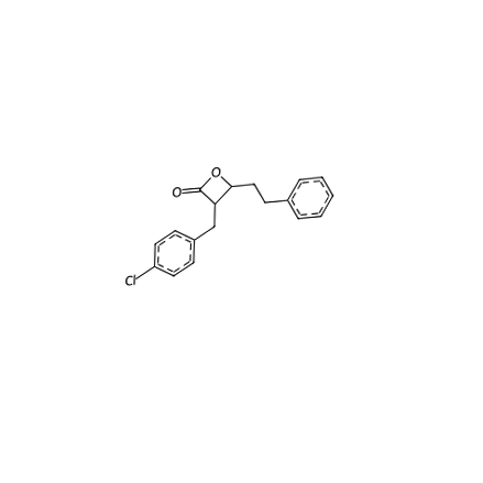 O=C1OC(CCc2ccccc2)C1Cc1ccc(Cl)cc1